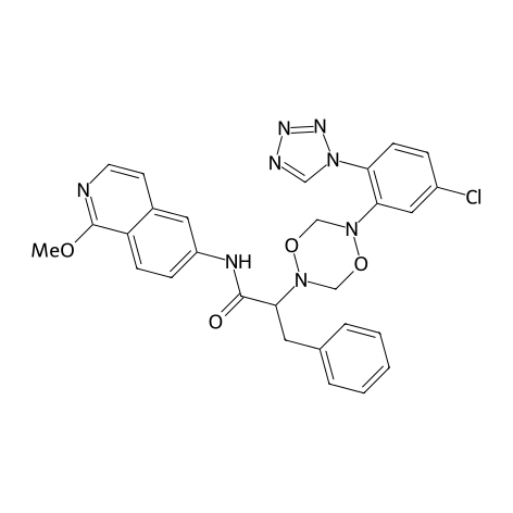 COc1nccc2cc(NC(=O)C(Cc3ccccc3)N3CON(c4cc(Cl)ccc4-n4cnnn4)CO3)ccc12